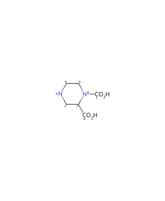 O=C(O)C1C[N]CCN1C(=O)O